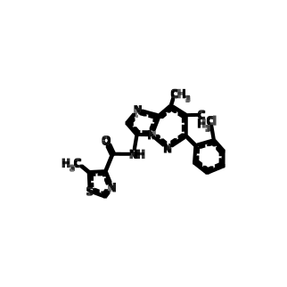 Cc1scnc1C(=O)Nc1cnc2c(C)c(C)c(-c3ccccc3Cl)nn12